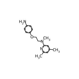 Cc1cc(C)nc(N(C)CCOc2ccc(N)cc2)c1